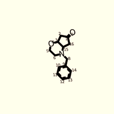 O=C1CC2OCCN(Cc3ccccc3)C2C1